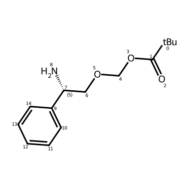 CC(C)(C)C(=O)OCOC[C@@H](N)c1ccccc1